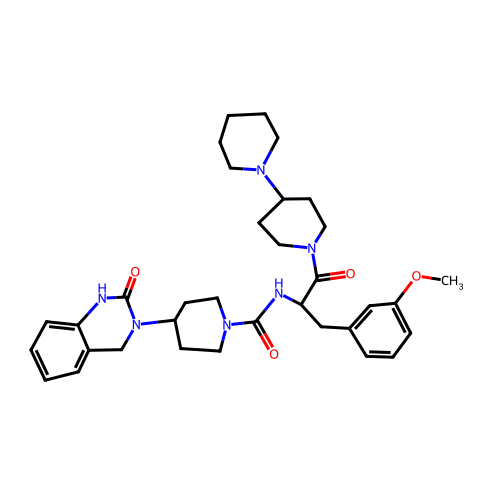 COc1cccc(CC(NC(=O)N2CCC(N3Cc4ccccc4NC3=O)CC2)C(=O)N2CCC(N3CCCCC3)CC2)c1